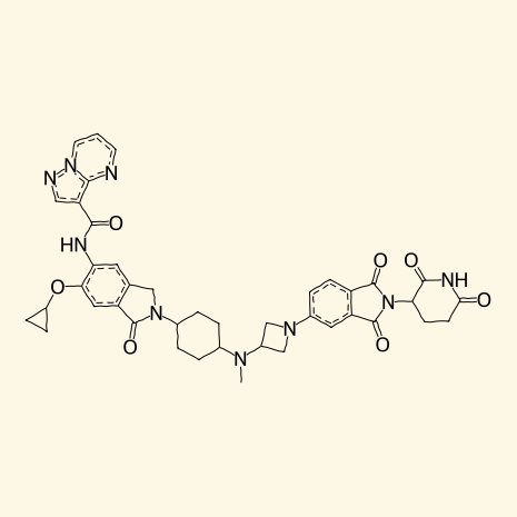 CN(C1CCC(N2Cc3cc(NC(=O)c4cnn5cccnc45)c(OC4CC4)cc3C2=O)CC1)C1CN(c2ccc3c(c2)C(=O)N(C2CCC(=O)NC2=O)C3=O)C1